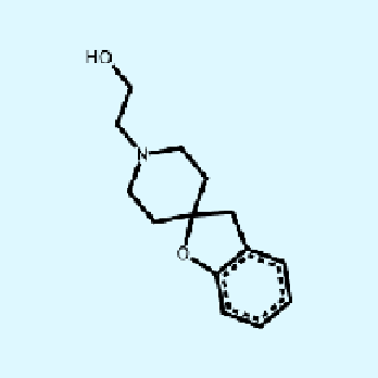 OCCN1CCC2(CC1)Cc1ccccc1O2